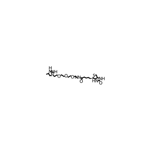 CC1CN(CCOCCOCCOCCNC(=O)CCCC[C@H]2SCC3NC(=O)NC32)NN1